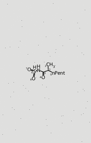 CCCCCC(C)C(=O)N[SH](=O)=O